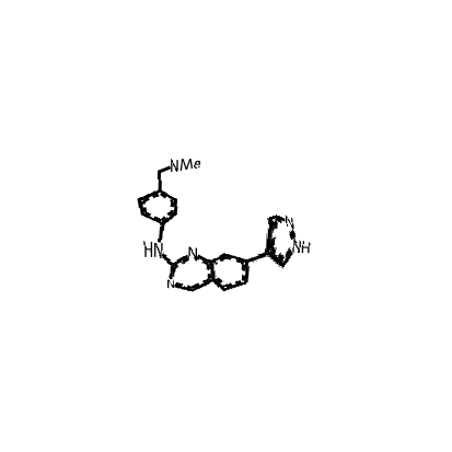 CNCc1ccc(Nc2ncc3ccc(-c4cn[nH]c4)cc3n2)cc1